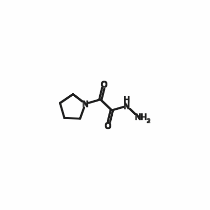 NNC(=O)C(=O)N1CCCC1